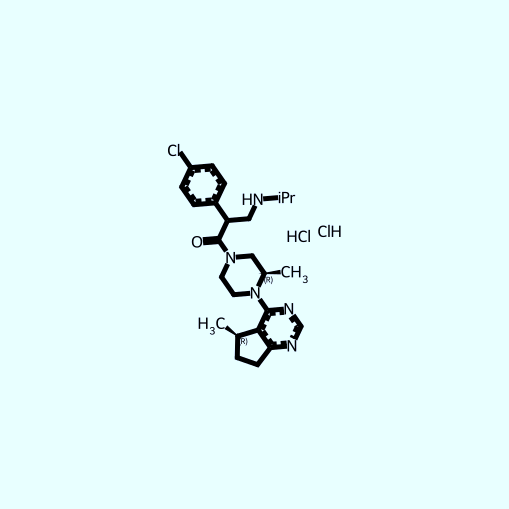 CC(C)NCC(C(=O)N1CCN(c2ncnc3c2[C@H](C)CC3)[C@H](C)C1)c1ccc(Cl)cc1.Cl.Cl